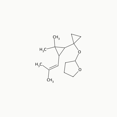 CC(C)=CC1C(C2(OC3CCCO3)CC2)C1(C)C